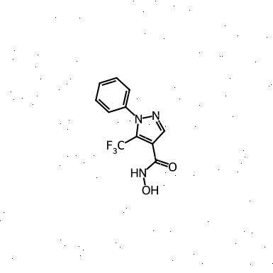 O=C(NO)c1cnn(-c2ccccc2)c1C(F)(F)F